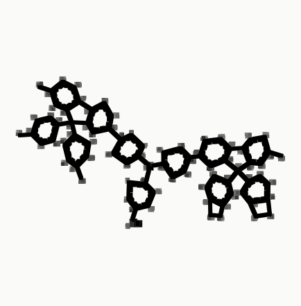 CCC(C)c1ccc(N(c2ccc(-c3ccc4c(c3)C(c3ccc(C)cc3)(c3ccc(C)cc3)c3cc(C)ccc3-4)cc2)c2ccc(-c3ccc4c(c3)C(c3ccc5c(c3)CC5)(c3ccc5c(c3)CC5)c3cc(C)ccc3-4)cc2)cc1